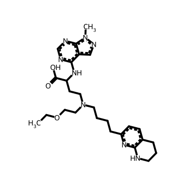 CCOCCN(CCCCc1ccc2c(n1)NCCC2)CCC(Nc1ncnc2c1cnn2C)C(=O)O